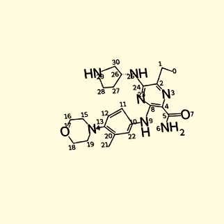 CCc1nc(C(N)=O)c(Nc2ccc(N3CCOCC3)c(C)c2)nc1N[C@@H]1CCNC1